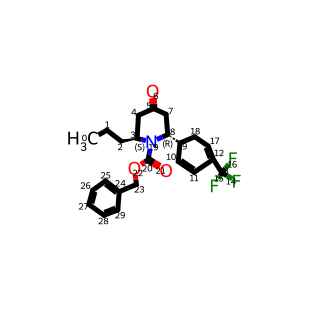 CCC[C@H]1CC(=O)C[C@H](C2C=CC(C(F)(F)F)=CC2)N1C(=O)OCc1ccccc1